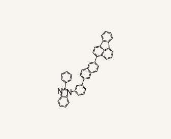 c1ccc(-c2nc3ccccc3n2-c2cccc(-c3ccc4cc(-c5ccc6c7c(cccc57)-c5ccccc5-6)ccc4c3)c2)cc1